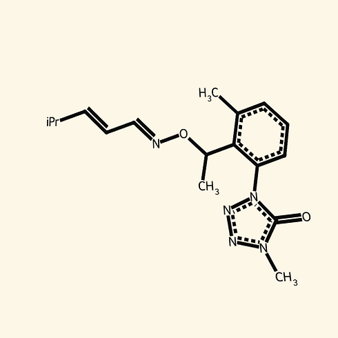 Cc1cccc(-n2nnn(C)c2=O)c1C(C)ON=CC=CC(C)C